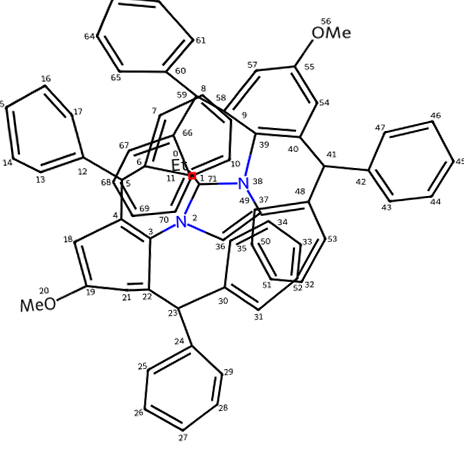 CCC1N(c2c(C(c3ccccc3)c3ccccc3)cc(OC)cc2C(c2ccccc2)c2ccccc2)C=CN1c1c(C(c2ccccc2)c2ccccc2)cc(OC)cc1C(c1ccccc1)c1ccccc1